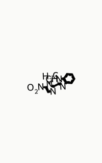 Cn1c([N+](=O)[O-])cnc1-c1nc2ccccc2n1C